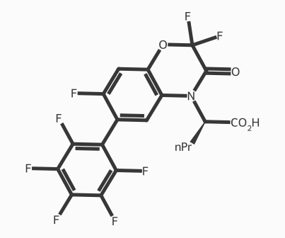 CCC[C@H](C(=O)O)N1C(=O)C(F)(F)Oc2cc(F)c(-c3c(F)c(F)c(F)c(F)c3F)cc21